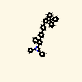 c1ccc(-c2cc(-c3ccc(-c4ccc(-c5ccc(-c6ccc7c(c6)C(c6ccccc6)(c6ccccc6)c6ccccc6-7)cc5)cc4)c4ccccc34)nc(-c3ccccc3)n2)cc1